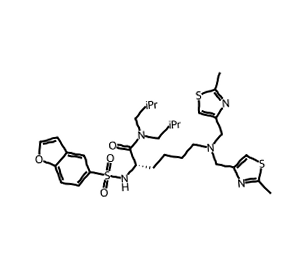 Cc1nc(CN(CCCC[C@H](NS(=O)(=O)c2ccc3occc3c2)C(=O)N(CC(C)C)CC(C)C)Cc2csc(C)n2)cs1